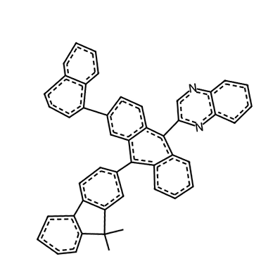 CC1(C)c2ccccc2-c2ccc(-c3c4ccccc4c(-c4cnc5ccccc5n4)c4ccc(-c5cccc6ccccc56)cc34)cc21